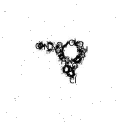 CC1(C)OCC=C[C@H](OC(=O)N2CCN(C3COC3)CC2)[C@@H]2CC[C@H]2CN2C[C@@]3(CCCc4cc(Cl)ccc43)COc3ccc(cc32)S(=O)(=O)NC1=O